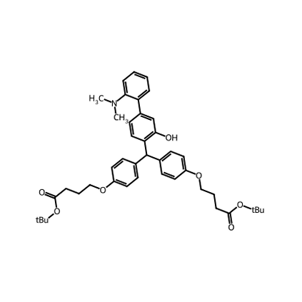 CN(C)c1ccccc1-c1ccc(C(c2ccc(OCCCC(=O)OC(C)(C)C)cc2)c2ccc(OCCCC(=O)OC(C)(C)C)cc2)c(O)c1